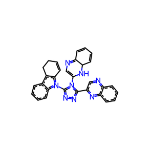 C1=CC2=NC=C(n3c(-c4cnc5ccccc5n4)nnc3-n3c4c(c5ccccc53)CCC=C4)NC2C=C1